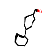 O=CC1CCC(C2=CCCCC2)CC1